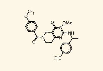 COn1c(NC(C)c2ccc(C(F)(F)F)cc2)nc2c(c1=O)CN(C(=O)c1ccc(OC(F)(F)F)cc1)CC2